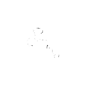 OCCN1CCC(c2ccccc2)(c2ccccc2)CC1